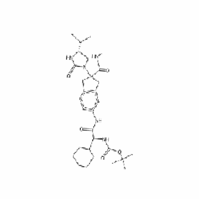 CNC(=O)C1(N2C[C@@H](C(C)C)NC2=O)Cc2ccc(NC(=O)[C@@H](NC(=O)OC(C)(C)C)C3CCCCC3)cc2C1